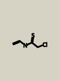 C=C[N]C(=S)CCl